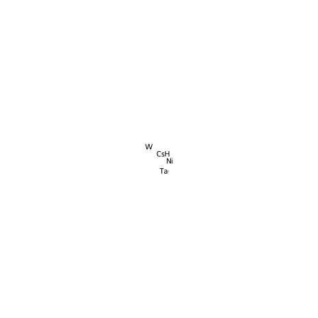 [CsH].[Ni].[Ta].[W]